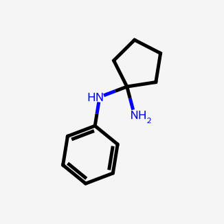 NC1(Nc2ccccc2)CCCC1